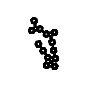 c1ccc(-c2ccc(-c3ccc(C4(c5cccc(-c6ccc(-c7ccc(-n8c9ccccc9c9cc(-c%10ccc%11c(c%10)c%10ccccc%10n%11-c%10ccccc%10)ccc98)cc7)cc6)c5)c5ccccc5-c5ccccc54)cc3)cc2)cc1